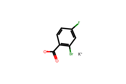 O=C([O-])c1ccc(F)cc1Br.[K+]